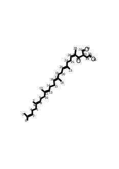 CC(C)=CCC/C(C)=C/CC/C(C)=C/CC/C=C(\C)CC/C=C(\C)CCC=C(C)C(=O)C([C]=O)C[C]=O